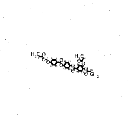 C=CC(=O)OCOc1ccc(C(=O)Oc2ccc(OC(=O)c3ccc(OC(=O)C=C)c(OC(=O)C=C)c3)cc2)cc1